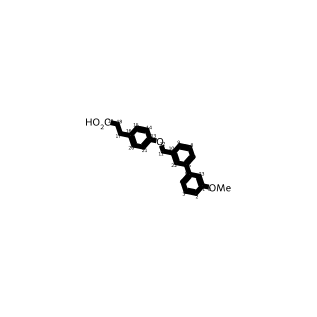 COc1cccc(-c2cccc(COc3ccc(CCC(=O)O)cc3)c2)c1